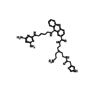 NCCN(CCNC(=O)Cc1c[nH]cn1)CCNC(=O)c1ccc2nc3ccccc3c(NCCCCNc3nc(N)nc(N)n3)c2c1